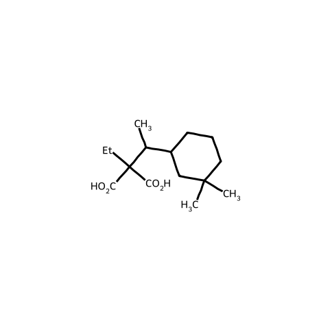 CCC(C(=O)O)(C(=O)O)C(C)C1CCCC(C)(C)C1